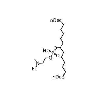 CCCCCCCCCCCCCCCC(CCCCCCCCCCCCCCC)OP(=O)(O)OCCN(C)CC